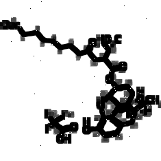 CCCCCCCCCCCCCCCCCC(=O)CC(CC(=O)O)C(=O)OC1=CC[C@@]2(O)[C@H]3Cc4ccc(O)c5c4[C@@]2(CCN3C)[C@H]1O5.O=C(O)C(F)(F)F